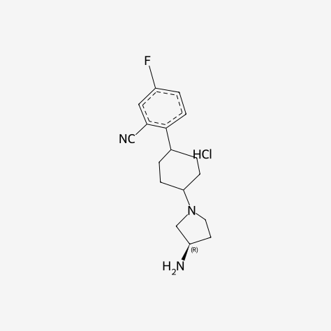 Cl.N#Cc1cc(F)ccc1C1CCC(N2CC[C@@H](N)C2)CC1